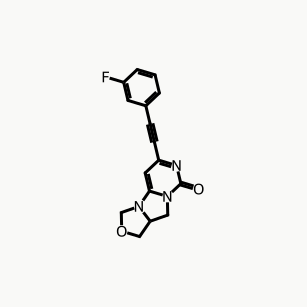 O=c1nc(C#Cc2cccc(F)c2)cc2n1CC1COCN21